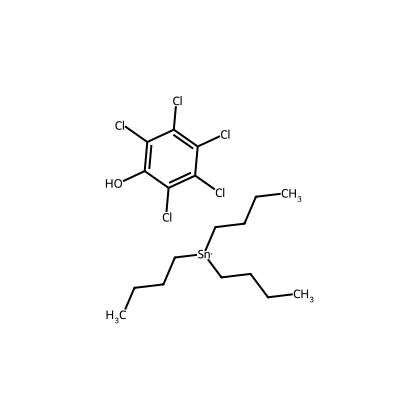 CCC[CH2][Sn]([CH2]CCC)[CH2]CCC.Oc1c(Cl)c(Cl)c(Cl)c(Cl)c1Cl